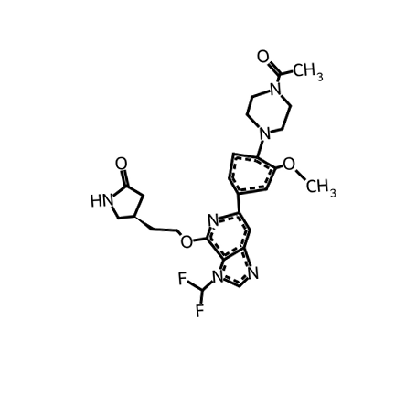 COc1cc(-c2cc3ncn(C(F)F)c3c(OCC[C@H]3CNC(=O)C3)n2)ccc1N1CCN(C(C)=O)CC1